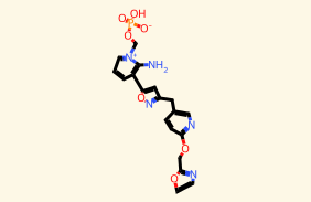 Nc1c(-c2cc(Cc3ccc(OCc4ncco4)nc3)no2)ccc[n+]1COP(=O)([O-])O